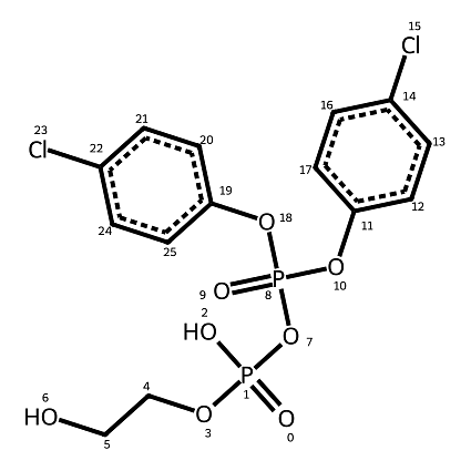 O=P(O)(OCCO)OP(=O)(Oc1ccc(Cl)cc1)Oc1ccc(Cl)cc1